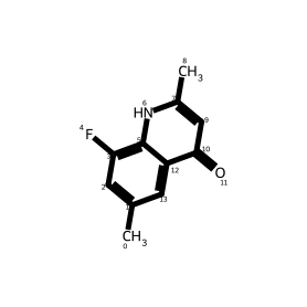 Cc1cc(F)c2[nH]c(C)cc(=O)c2c1